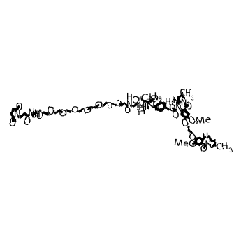 COc1cc2c(cc1OCCCOc1cc3c(cc1OC)C(=O)N1C=C(C)C[C@H]1[C@H](O)N3C(=O)OCc1ccc(NC(=O)[C@H](C)NC(=O)CNC(=O)CCOCCOCCOCCOCCOCCOCCOCCOCCNC(=O)CCN3C(=O)C=CC3=O)cc1)N=CC1CC(C)=CN1C2=O